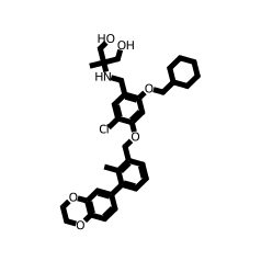 Cc1c(COc2cc(OCC3CCCCC3)c(CNC(C)(CO)CO)cc2Cl)cccc1-c1ccc2c(c1)OCCO2